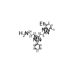 CCc1ccc(C)n2nc(CCc3nc(-c4ccccc4)nn3CCCN)nc12